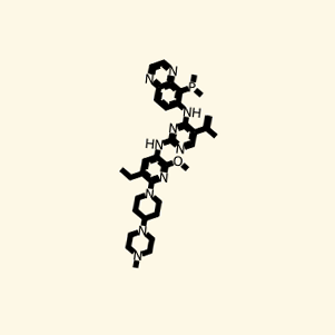 C=C(C)c1cnc(Nc2cc(CC)c(N3CCC(N4CCN(C)CC4)CC3)nc2OC)nc1Nc1ccc2nccnc2c1P(C)C